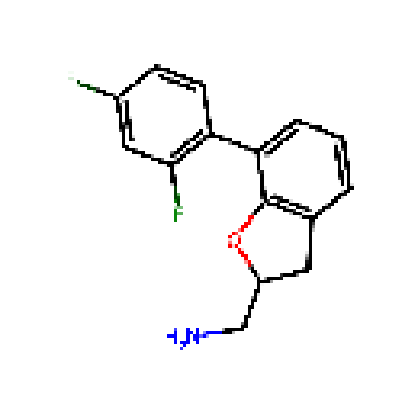 NCC1Cc2cccc(-c3ccc(F)cc3F)c2O1